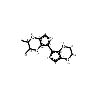 CC1Oc2csc(-c3scc4c3OCCO4)c2OC1C